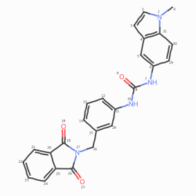 Cn1ccc2cc(NC(=O)Nc3cccc(CN4C(=O)c5ccccc5C4=O)c3)ccc21